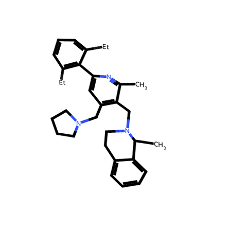 CCc1cccc(CC)c1-c1cc(CN2CCCC2)c(CN2CCc3ccccc3C2C)c(C)n1